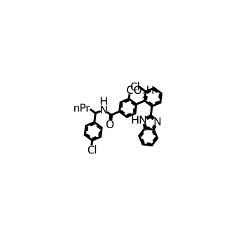 CCCC(NC(=O)c1ccc(-c2c(Cl)cccc2-c2nc3ccccc3[nH]2)c(C(=O)O)c1)c1ccc(Cl)cc1